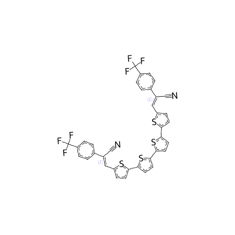 N#C/C(=C\c1ccc(-c2ccc(-c3ccc(-c4ccc(/C=C(\C#N)c5ccc(C(F)(F)F)cc5)s4)s3)s2)s1)c1ccc(C(F)(F)F)cc1